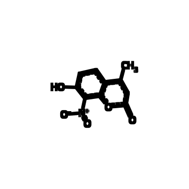 Cc1cc(=O)oc2c([N+](=O)[O-])c(O)ccc12